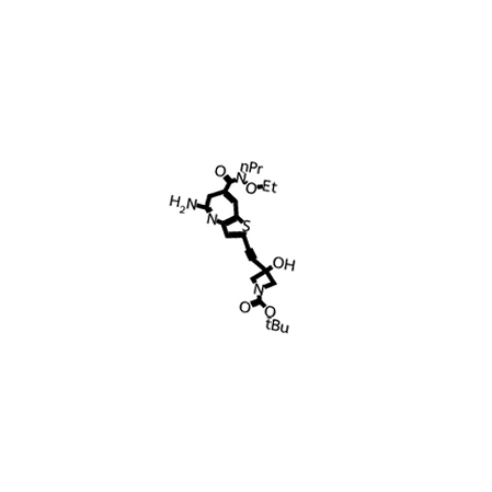 CCCN(OCC)C(=O)C1=Cc2sc(C#CC3(O)CN(C(=O)OC(C)(C)C)C3)cc2N=C(N)C1